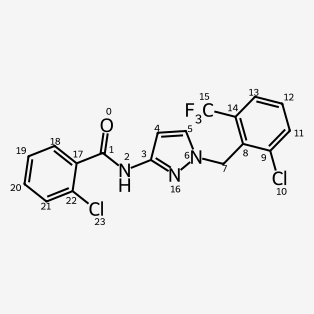 O=C(Nc1ccn(Cc2c(Cl)cccc2C(F)(F)F)n1)c1ccccc1Cl